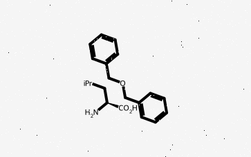 CC(C)C[C@H](N)C(=O)O.c1ccc(COCc2ccccc2)cc1